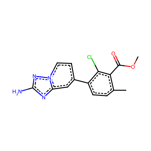 COC(=O)c1c(C)ccc(-c2ccn3nc(N)nc3c2)c1Cl